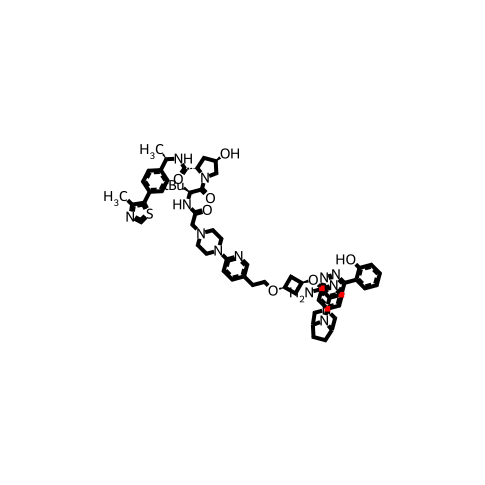 Cc1ncsc1-c1ccc([C@H](C)NC(=O)[C@@H]2C[C@@H](O)CN2C(=O)[C@@H](NC(=O)CN2CCN(c3ccc(CCO[C@H]4C[C@H](Oc5cc(N6C7CCC6CN(c6cc(-c8ccccc8O)nnc6N)C7)ccn5)C4)cn3)CC2)C(C)(C)C)cc1